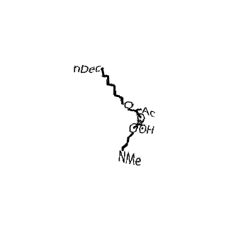 CCCCCCCCCCCCCCCCCCOCC(COP(O)OCCCCNC)CC(C)=O